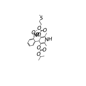 CSCCOC(=O)OC1=C(C)NC(C)=C(OC(=O)OC(C)C)C1c1ccccc1[N+](=O)[O-]